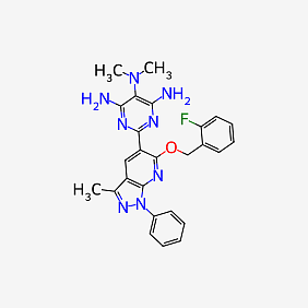 Cc1nn(-c2ccccc2)c2nc(OCc3ccccc3F)c(-c3nc(N)c(N(C)C)c(N)n3)cc12